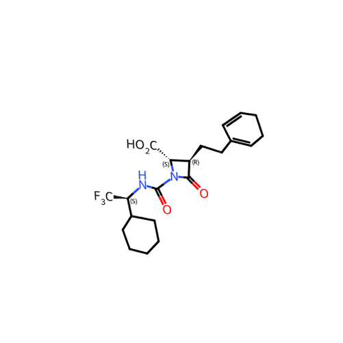 O=C(O)[C@@H]1[C@@H](CCC2=CCCC=C2)C(=O)N1C(=O)N[C@@H](C1CCCCC1)C(F)(F)F